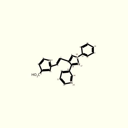 O=C(O)c1ccnc(/C=C/c2cn(-c3ccccc3)nc2-c2cccnc2)c1